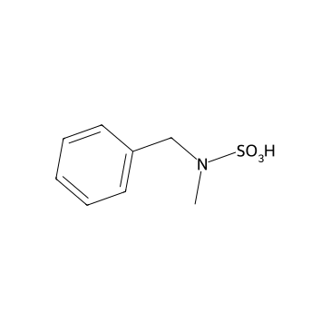 CN(Cc1ccccc1)S(=O)(=O)O